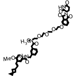 COc1cnc(C(=O)NCc2cccc(CC(=O)N(C)CCOCCOCCOCCOc3ccc4c(c3)C(=O)N(C3CCC(=O)NC3=O)C4=O)c2)cc1C=CC1CC2(CC2)C1